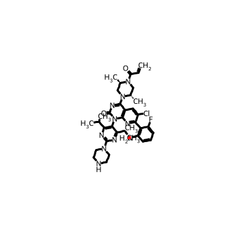 C=CC(=O)N1C[C@H](C)N(c2nc(=O)n(-c3c(C(C)C)nc(N4CCNCC4)nc3C(C)C)c3nc(-c4c(N)cccc4F)c(Cl)cc23)C[C@H]1C